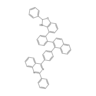 c1ccc(-c2nc(-c3ccc(-c4c(-c5ccccc5-c5cccc6c5NC(c5ccccc5)O6)ccc5ccccc45)cc3)c3ccccc3n2)cc1